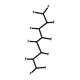 FC(F)C(F)C(F)C(F)C(F)C(F)C(F)C(F)I